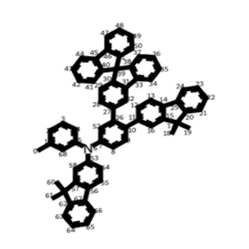 Cc1cccc(N(c2ccc(-c3ccc4c(c3)C(C)(C)c3ccccc3-4)c(-c3ccc4c(c3)-c3ccccc3C43c4ccccc4-c4ccccc43)c2)c2ccc3c(c2)C(C)(C)c2ccccc2-3)c1